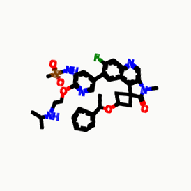 CC(C)NCCOc1ncc(-c2cc3c4c(cnc3cc2F)N(C)C(=O)C42CC(OC(C)c3ccccc3)C2)cc1NS(C)(=O)=O